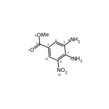 COC(=O)c1cc(N)c(N)c([N+](=O)[O-])c1